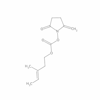 C=C1CCC(=O)N1OC(=O)OCC/C(C)=C/C